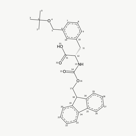 CC(C)(C)OCc1cccc(C[C@H](NC(=O)OCC2c3ccccc3-c3ccccc32)C(=O)O)c1